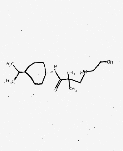 CC(C)[C@H]1CC[C@H](NC(=O)C(C)(C)CNCCO)CC1